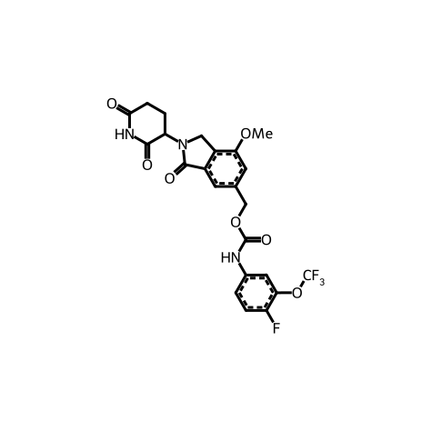 COc1cc(COC(=O)Nc2ccc(F)c(OC(F)(F)F)c2)cc2c1CN(C1CCC(=O)NC1=O)C2=O